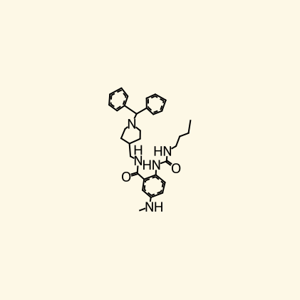 CCCCNC(=O)Nc1ccc(NC)cc1C(=O)NCC1CCN(C(c2ccccc2)c2ccccc2)CC1